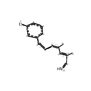 CCc1cccc(\C=C/C=C(C)\C=C(/C)C=N)c1